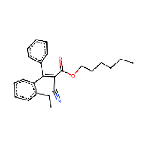 CCCCCCOC(=O)C(C#N)=C(c1ccccc1)c1ccccc1CC